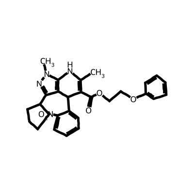 CC1=C(C(=O)OCCOc2ccccc2)C(c2ccccc2[N+](=O)[O-])c2c(C3CCCC3)nn(C)c2N1